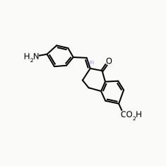 Nc1ccc(/C=C2\CCc3cc(C(=O)O)ccc3C2=O)cc1